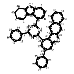 C1=Cc2c(sc3cccc(-c4nc(-c5ccccc5)nc(-c5cc(-c6ccccc6)cc6oc7cc8ccccc8cc7c56)n4)c23)CC1